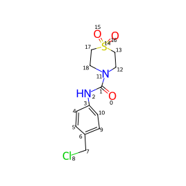 O=C(Nc1ccc(CCl)cc1)N1CCS(=O)(=O)CC1